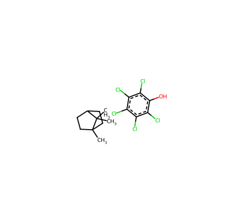 CC12CCC(CC1)C2(C)C.Oc1c(Cl)c(Cl)c(Cl)c(Cl)c1Cl